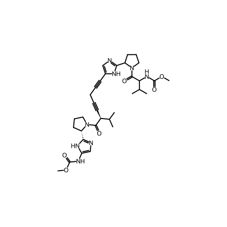 COC(=O)Nc1cnc([C@@H]2CCCN2C(=O)[C@@H](C#CCC#Cc2cnc(C3CCCN3C(=O)C(NC(=O)OC)C(C)C)[nH]2)C(C)C)[nH]1